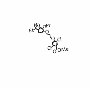 CCCc1c(OCCCOc2cc(Cl)c(C(=O)OC)cc2Cl)ccc2c(CC)noc12